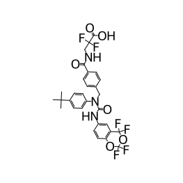 CC(C)(C)c1ccc(N(Cc2ccc(C(=O)NCC(F)(F)C(=O)O)cc2)C(=O)Nc2ccc3c(c2)C(F)(F)OC(F)(F)O3)cc1